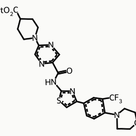 CCOC(=O)C1CCN(c2cnc(C(=O)Nc3nc(-c4ccc(N5CCOCC5)c(C(F)(F)F)c4)cs3)cn2)CC1